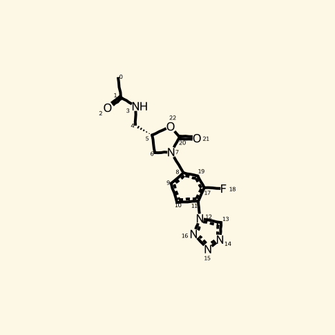 CC(=O)NC[C@H]1CN(c2ccc(-n3cnnn3)c(F)c2)C(=O)O1